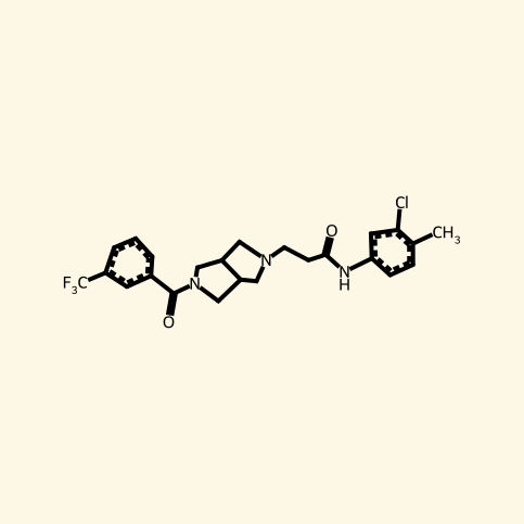 Cc1ccc(NC(=O)CCN2CC3CN(C(=O)c4cccc(C(F)(F)F)c4)CC3C2)cc1Cl